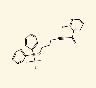 CC(C)(C)[Si](OCCCC#CC(=O)c1cccnc1Cl)(c1ccccc1)c1ccccc1